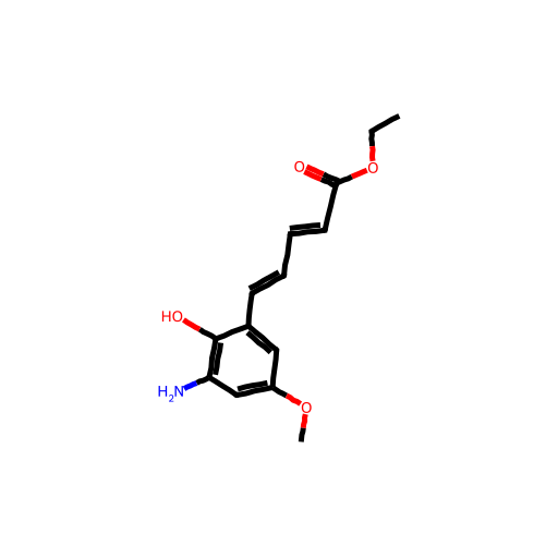 CCOC(=O)C=CC=Cc1cc(OC)cc(N)c1O